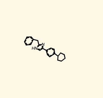 c1ccc(Cc2nc(-c3ccc(C4CCCCC4)cc3)c[nH]2)cc1